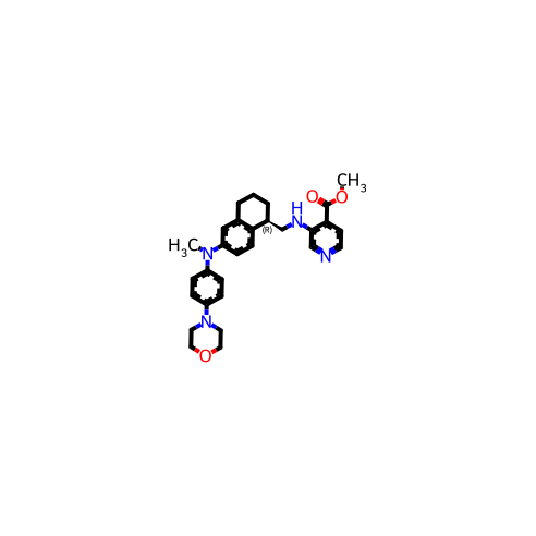 COC(=O)c1ccncc1NC[C@@H]1CCCc2cc(N(C)c3ccc(N4CCOCC4)cc3)ccc21